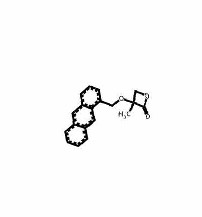 CC1(OCc2cccc3cc4ccccc4cc23)COC1=O